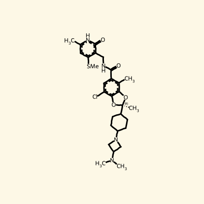 CSc1cc(C)[nH]c(=O)c1CNC(=O)c1cc(Cl)c2c(c1C)O[C@@](C)(C1CCC(N3CC(N(C)C)C3)CC1)O2